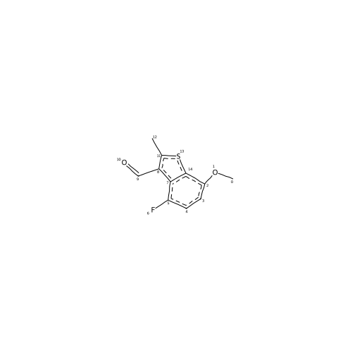 COc1ccc(F)c2c(C=O)c(C)sc12